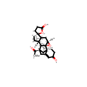 COC(=O)[C@]12CC3=CC(=O)CC[C@]3(C1)[C@@]13O[C@@H]1C[C@@]1(C)[C@@H](CC[C@@]14CCC(=O)O4)[C@H]23